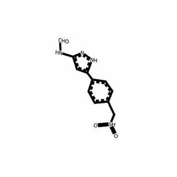 O=CNc1cc(-c2ccc(C[SH](=O)=O)cc2)[nH]n1